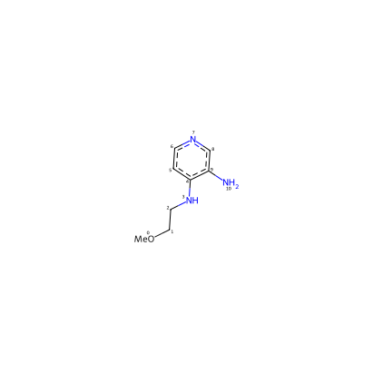 COCCNc1ccncc1N